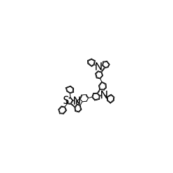 C1=C(c2ccc3c(c2)c2cc(-c4ccc5c(c4)c4ccccc4n5-c4ccccc4)ccc2n3-c2ccccc2)CC2C(=C1)n1c3c2cccc3c2c(-c3ccccc3)sc(-c3ccccc3)c21